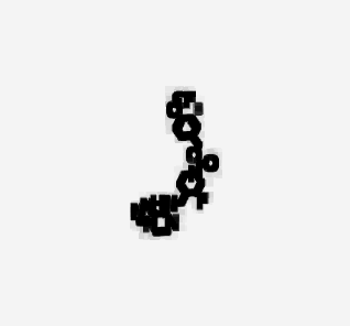 O=C(OCc1ccc(OC(F)(F)F)cc1)N1CCC(CNc2nccn3cnnc23)C(F)C1